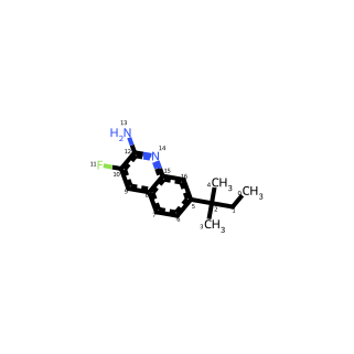 CCC(C)(C)c1ccc2cc(F)c(N)nc2c1